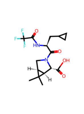 CC1(C)[C@@H]2[C@@H](C(=O)O)N(C(=O)[C@H](CC3CC3)NC(=O)C(F)(F)F)C[C@@H]21